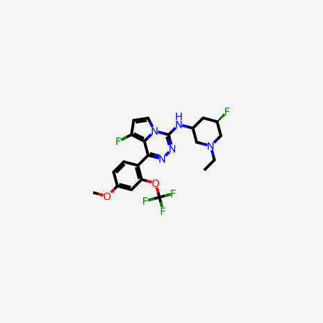 CCN1CC(Nc2nnc(-c3ccc(OC)cc3OC(F)(F)F)c3c(F)ccn23)C[C@@H](F)C1